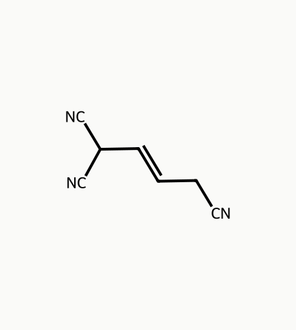 N#CC/C=C/C(C#N)C#N